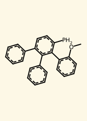 COc1ccccc1-c1c(P)ccc(-c2ccccc2)c1-c1ccccc1